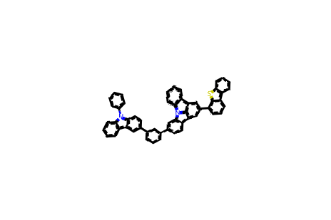 c1ccc(-n2c3ccccc3c3cc(-c4cccc(-c5ccc6c7cc(-c8cccc9c8sc8ccccc89)cc8c9ccccc9n(c6c5)c87)c4)ccc32)cc1